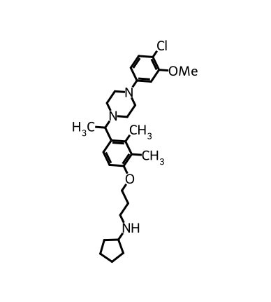 COc1cc(N2CCN(C(C)c3ccc(OCCCNC4CCCC4)c(C)c3C)CC2)ccc1Cl